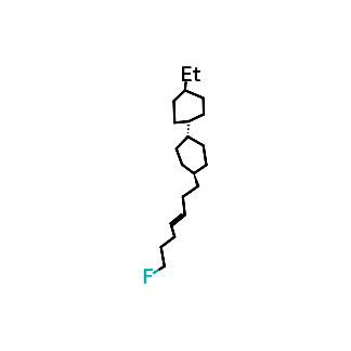 CCC1CCC([C@H]2CC[C@H](CC/C=C/CCCF)CC2)CC1